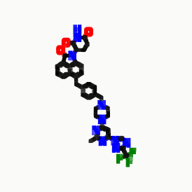 Cc1nc(N2CCN(Cc3ccc(Cc4ccc5c6c(cccc46)C(=O)N5C4CCC(=O)NC4=O)cc3)CC2)cc(-n2cnc(C(F)(F)F)n2)n1